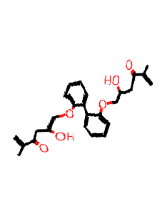 C=C(C)C(=O)CC(O)COc1ccccc1-c1ccccc1OCC(O)CC(=O)C(=C)C